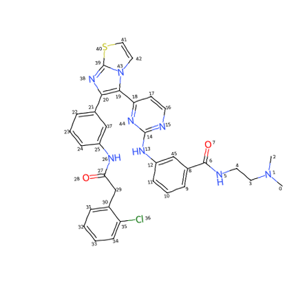 CN(C)CCNC(=O)c1cccc(Nc2nccc(-c3c(-c4cccc(NC(=O)Cc5ccccc5Cl)c4)nc4sccn34)n2)c1